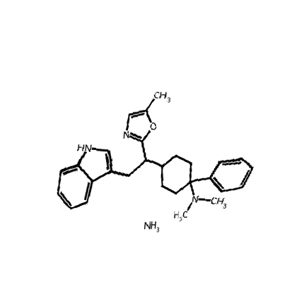 Cc1cnc(C(Cc2c[nH]c3ccccc23)C2CCC(c3ccccc3)(N(C)C)CC2)o1.N